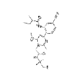 CCC(C)C(=O)Nc1cc(C#N)ccc1C1=CC(OC)N(CC(=O)NC(C)(C)CF)C(C)=N1